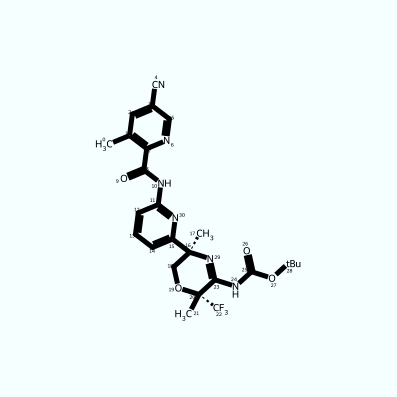 Cc1cc(C#N)cnc1C(=O)Nc1cccc([C@]2(C)CO[C@@](C)(C(F)(F)F)C(NC(=O)OC(C)(C)C)=N2)n1